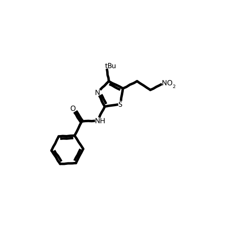 CC(C)(C)c1nc(NC(=O)c2ccccc2)sc1CC[N+](=O)[O-]